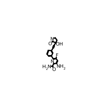 CN1CC[C@@](O)(C#Cc2cccc(-c3nc(C(N)=O)c(N)cc3F)c2)C1=O